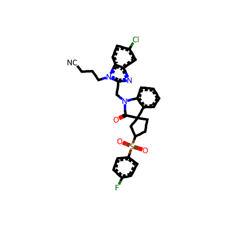 N#CCCCn1c(CN2C(=O)C3(CCC(S(=O)(=O)c4ccc(F)cc4)C3)c3ccccc32)nc2cc(Cl)ccc21